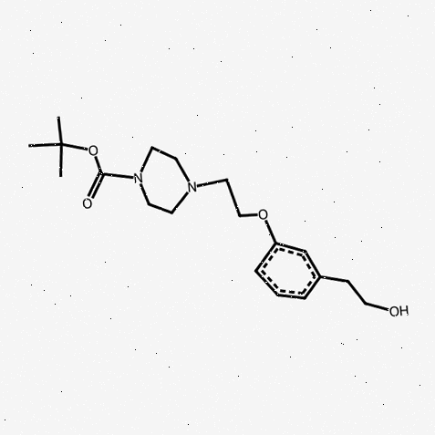 CC(C)(C)OC(=O)N1CCN(CCOc2cccc(CCO)c2)CC1